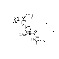 CO[C@H]1CN(c2nc(-c3ncnn3C)c(OC(=O)O)s2)CC[C@H]1NC(=O)c1cc(C#N)c(C)[nH]1